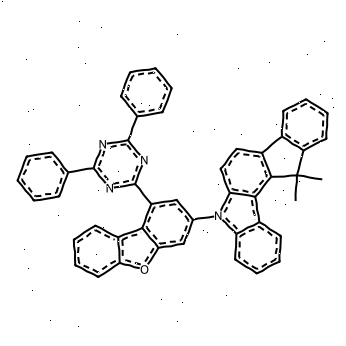 CC1(C)c2ccccc2-c2ccc3c(c21)c1ccccc1n3-c1cc(-c2nc(-c3ccccc3)nc(-c3ccccc3)n2)c2c(c1)oc1ccccc12